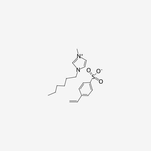 C=Cc1ccc(S(=O)(=O)[O-])cc1.CCCCCCn1cc[n+](C)c1